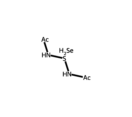 CC(=O)NSNC(C)=O.[SeH2]